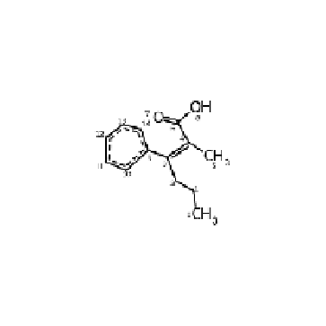 CCCC(=C(C)C(=O)O)c1ccccc1